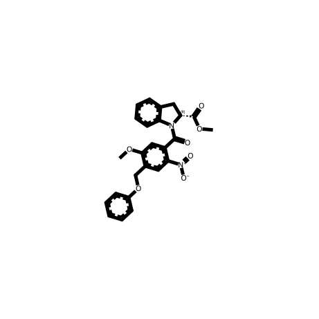 COC(=O)[C@H]1Cc2ccccc2N1C(=O)c1cc(OC)c(COc2ccccc2)cc1[N+](=O)[O-]